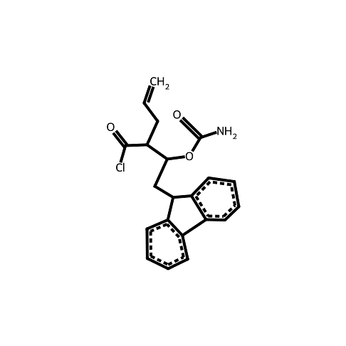 C=CCC(C(=O)Cl)C(CC1c2ccccc2-c2ccccc21)OC(N)=O